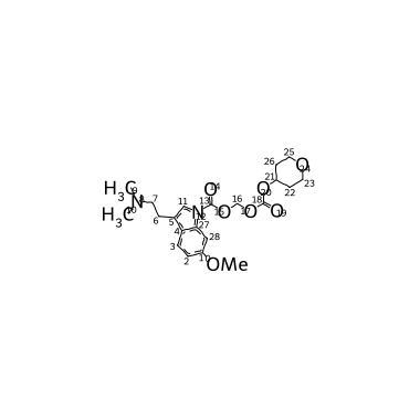 COc1ccc2c(CCN(C)C)cn(C(=O)OCOC(=O)OC3CCOCC3)c2c1